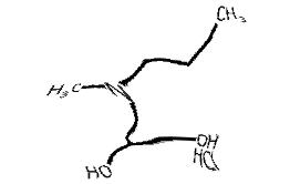 CCCN(C)C(O)O.Cl